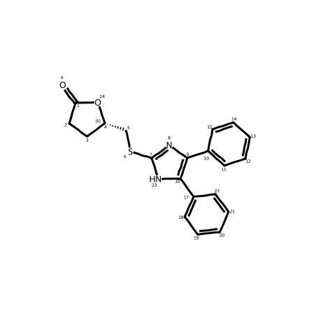 O=C1CC[C@@H](CSc2nc(-c3ccccc3)c(-c3ccccc3)[nH]2)O1